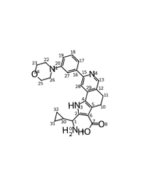 NC(c1[nH]c2c(c1C(=O)O)CCc1cnc(-c3cccc(N4CCOCC4)c3)cc1-2)C1CC1